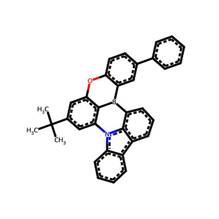 CC(C)(C)c1cc2c3c(c1)-n1c4ccccc4c4cccc(c41)B3c1cc(-c3ccccc3)ccc1O2